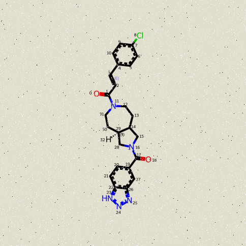 O=C(/C=C/c1ccc(Cl)cc1)N1CCC2CN(C(=O)c3ccc4[nH]nnc4c3)C[C@H]2CC1